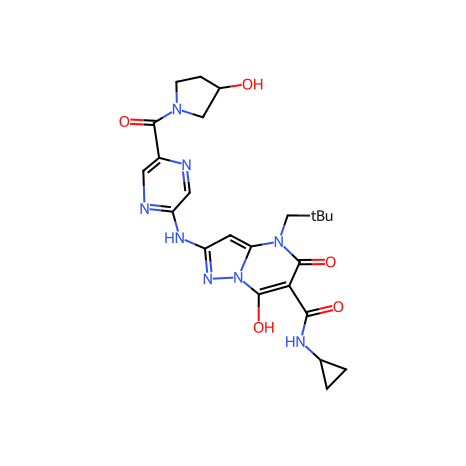 CC(C)(C)Cn1c(=O)c(C(=O)NC2CC2)c(O)n2nc(Nc3cnc(C(=O)N4CCC(O)C4)cn3)cc12